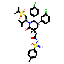 Cc1ccc(S(=N)(=O)NC(=O)C[C@@]2(C)C[C@H](c3cccc(Cl)c3)[C@@H](c3ccc(Cl)cc3)N([C@H](CS(=O)(=O)C(C)C)C(C)C)C2=O)cc1